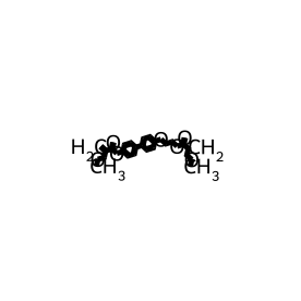 C=C(COC)C(=O)OCCOc1ccc(-c2ccc(OC(=O)C(=C)COC)cc2)cc1